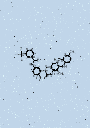 Cc1ccc(Nc2ncc3c(c2C)NC(=O)N(c2cc(NC(=O)c4cccc(C(F)(F)F)c4)ccc2C)C3)c(C)n1